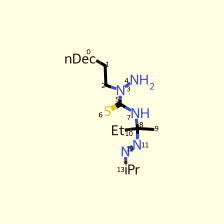 CCCCCCCCCCCCN(N)C(=S)NC(C)(CC)N=NC(C)C